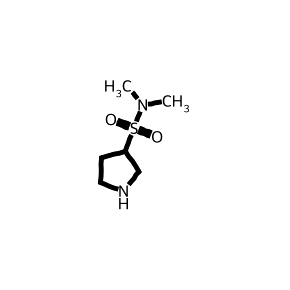 CN(C)S(=O)(=O)C1CCNC1